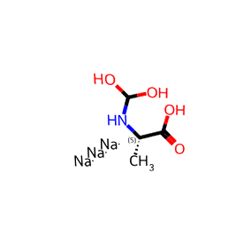 C[C@H](NC(O)O)C(=O)O.[Na].[Na].[Na]